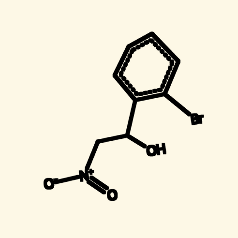 O=[N+]([O-])CC(O)c1ccccc1Br